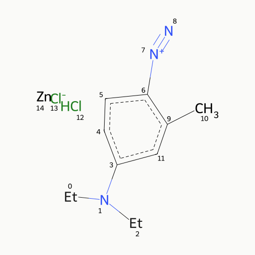 CCN(CC)c1ccc([N+]#N)c(C)c1.Cl.[Cl-].[Zn]